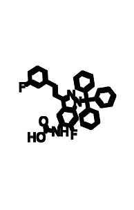 O=C(O)Nc1cc2c(/C=C/c3cccc(F)c3)nn(C(c3ccccc3)(c3ccccc3)c3ccccc3)c2cc1F